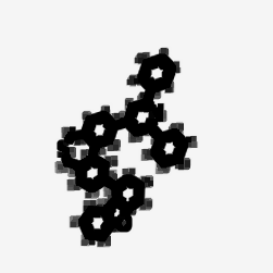 c1ccc(-c2cc(-c3ccc4c(c3)-c3cc(-c5cccc6oc7ccccc7c56)ccc3CSC4)cc(-c3ccccc3)n2)cc1